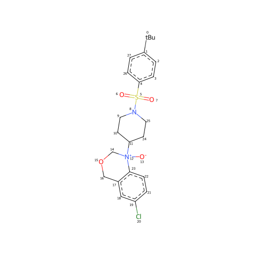 CC(C)(C)c1ccc(S(=O)(=O)N2CCC([N+]3([O-])COCc4cc(Cl)ccc43)CC2)cc1